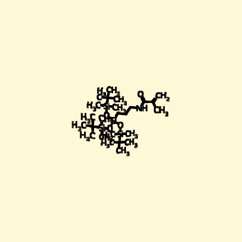 C=C(C)C(=O)NCCC[Si](O[Si](C)(C)C(C)(C)C)(O[Si](C)(C)C(C)(C)C)O[Si](C)(C)C(C)(C)C